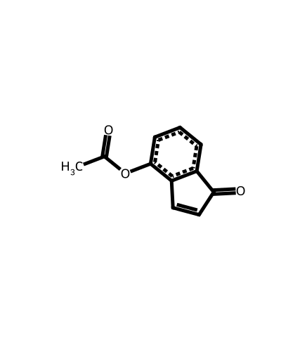 CC(=O)Oc1cccc2c1C=CC2=O